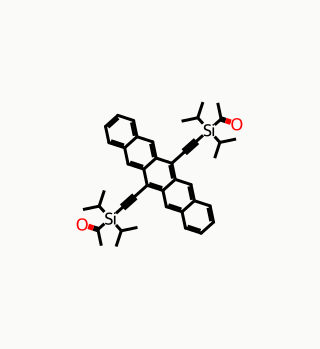 CC(=O)[Si](C#Cc1c2cc3ccccc3cc2c(C#C[Si](C(C)=O)(C(C)C)C(C)C)c2cc3ccccc3cc12)(C(C)C)C(C)C